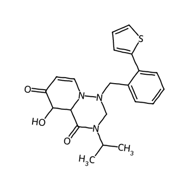 CC(C)N1CN(Cc2ccccc2-c2cccs2)N2C=CC(=O)C(O)C2C1=O